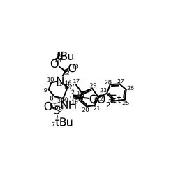 CCOC(=O)C#C[C@]1(N[S@+]([O-])C(C)(C)C)CCCN(C(=O)OC(C)(C)C)[C@@H]1Cc1cccc(-c2ccccc2)c1